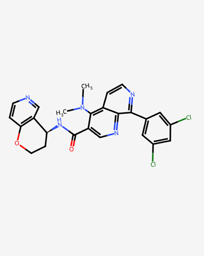 CN(C)c1c(C(=O)N[C@H]2CCOc3ccncc32)cnc2c(-c3cc(Cl)cc(Cl)c3)nccc12